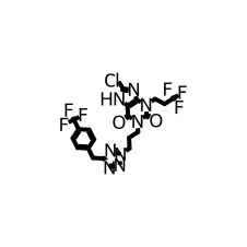 O=c1c2[nH]c(Cl)nc2n(CCC(F)(F)F)c(=O)n1CCCn1nnc(Cc2ccc(C(F)(F)F)cc2)n1